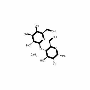 OC[C@H]1O[C@@H](O[C@H]2[C@H](O)[C@@H](O)[C@@H](O)O[C@@H]2CO)[C@H](O)[C@@H](O)[C@H]1O.[CaH2]